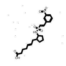 O=C(O)CCC/C=C/CC1CCCC1NS(=O)(=O)/C=C/c1cccc([N+](=O)[O-])c1